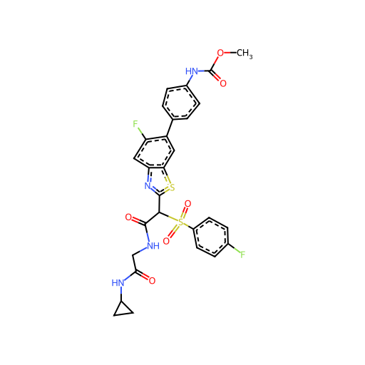 COC(=O)Nc1ccc(-c2cc3sc(C(C(=O)NCC(=O)NC4CC4)S(=O)(=O)c4ccc(F)cc4)nc3cc2F)cc1